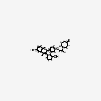 CC1=C(c2cccc(O)c2)C(c2ccc(OCC(C)N3CCCC(F)CC3)cc2)Oc2ccc(O)cc21